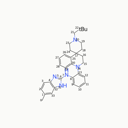 Cc1ccc2nc(Nc3ccccc3N3CCC4(CCN(CC(C)(C)C)CC4)c4ccccc43)[nH]c2c1